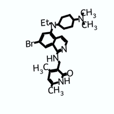 CCN(c1cc(Br)cc2c(NCc3c(C)cc(C)[nH]c3=O)nccc12)C1CCC(N(C)C)CC1